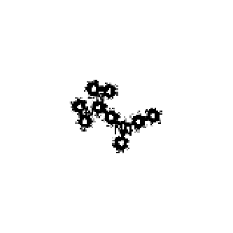 c1ccc(-c2ccc(-c3cc(-c4ccc(-c5cc(-n6c7ccccc7c7ccccc76)cc(-n6c7ccccc7c7ccccc76)c5)cc4)nc(-c4ccccc4)n3)cc2)cc1